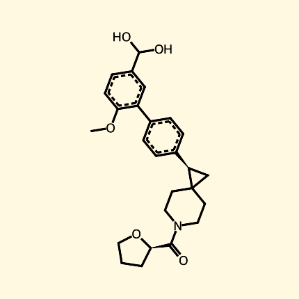 COc1ccc(C(O)O)cc1-c1ccc([C@H]2CC23CCN(C(=O)[C@H]2CCCO2)CC3)cc1